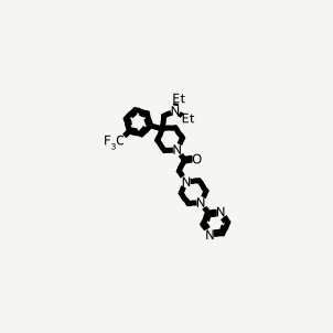 CCN(CC)CC1(c2cccc(C(F)(F)F)c2)CCN(C(=O)CN2CCN(c3cnccn3)CC2)CC1